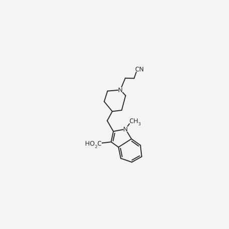 Cn1c(CC2CCN(CCC#N)CC2)c(C(=O)O)c2ccccc21